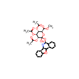 COC(=O)[C@H]1O[C@](O)(Oc2nc3c4ccccc4oc3c3ccccc23)[C@H](OC(C)=O)[C@@H](OC(C)=O)[C@@H]1OC(C)=O